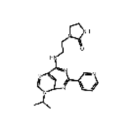 CC(C)N1C=NC2=CC1N=C(c1cccnc1)N=C2NCCN1CCNC1=O